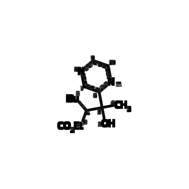 CCOC(=O)C(C(C)CC)C(C)(O)c1cnccn1